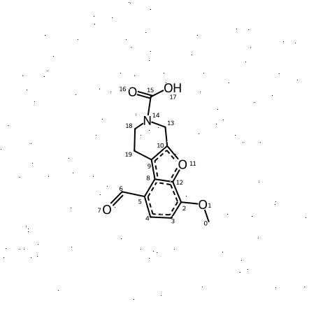 COc1ccc(C=O)c2c3c(oc12)CN(C(=O)O)CC3